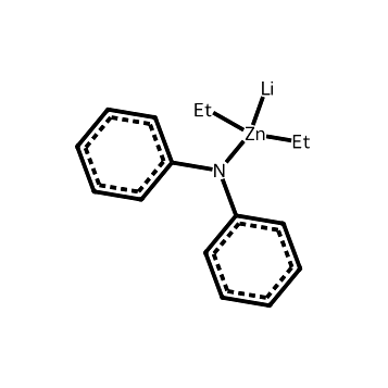 [Li][Zn]([CH2]C)([CH2]C)[N](c1ccccc1)c1ccccc1